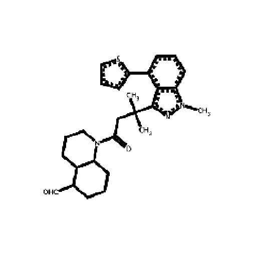 Cn1nc(C(C)(C)CC(=O)N2CCCC3C(C=O)CCCC32)c2c(-c3cccs3)cccc21